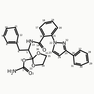 NC(=O)OC1(C(Cc2ccccc2)NC(=O)c2ccccc2-n2ccc(-c3ccccc3)n2)OCCO1